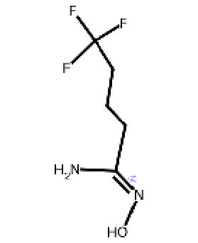 N/C(CCCC(F)(F)F)=N\O